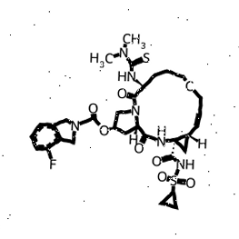 CN(C)C(=S)N[C@H]1CCCCC/C=C\[C@@H]2C[C@@]2(C(=O)NS(=O)(=O)C2CC2)NC(=O)[C@@H]2C[C@@H](OC(=O)N3Cc4cccc(F)c4C3)CN2C1=O